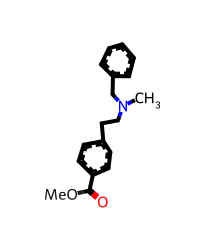 COC(=O)c1ccc(CCN(C)Cc2ccccc2)cc1